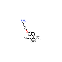 C/C=C(\c1c(CCC)ccc2cc(OCCCCCCN)ccc12)C(C=O)CCC(C)=O